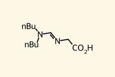 CCCCN(C=NCC(=O)O)CCCC